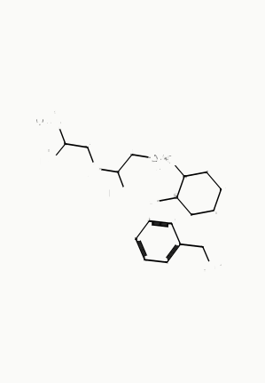 CC(=O)OC1CCCCC1C(C)(C)C.CC(=O)OCc1ccccc1.COC(C)COC(C)COC(C)=O